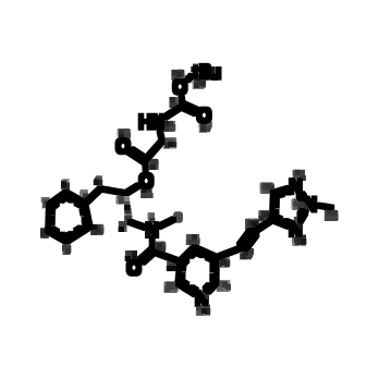 CN(C[C@H](Cc1ccccc1)OC(=O)CNC(=O)OC(C)(C)C)C(=O)c1cncc(C#Cc2cnn(C)n2)c1